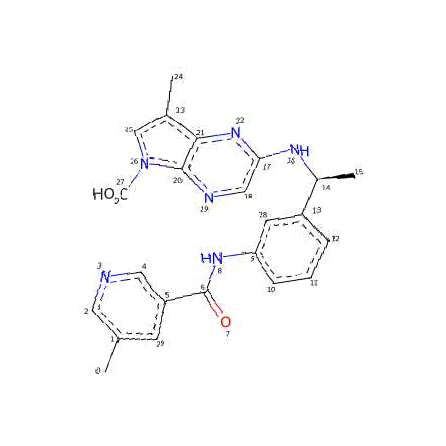 Cc1cncc(C(=O)Nc2cccc([C@H](C)Nc3cnc4c(n3)c(C)cn4C(=O)O)c2)c1